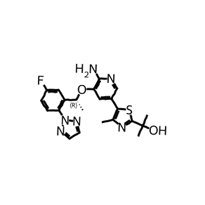 Cc1nc(C(C)(C)O)sc1-c1cnc(N)c(O[C@H](C)c2cc(F)ccc2-n2nccn2)c1